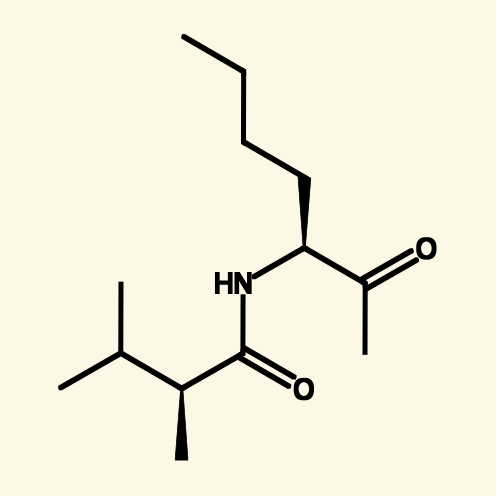 CCCC[C@H](NC(=O)[C@@H](C)C(C)C)C(C)=O